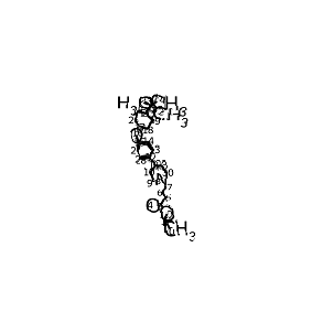 CCOC(=O)CCCN1CCC(c2ccc(OC3CCC(C(C)(C)C)CC3)cc2)CC1